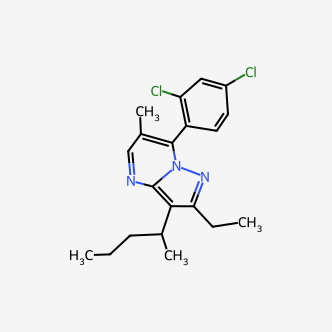 CCCC(C)c1c(CC)nn2c(-c3ccc(Cl)cc3Cl)c(C)cnc12